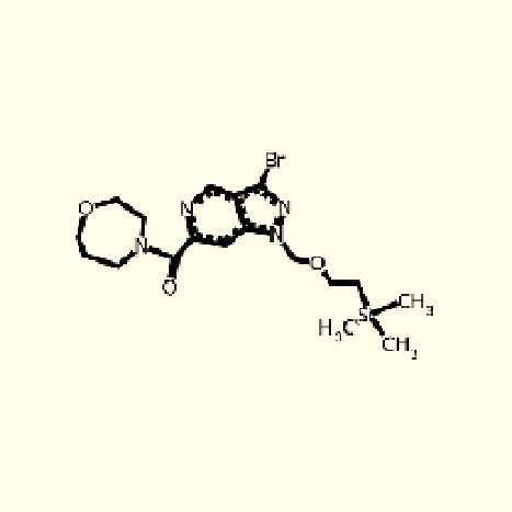 C[Si](C)(C)CCOCn1nc(Br)c2cnc(C(=O)N3CCCOCC3)cc21